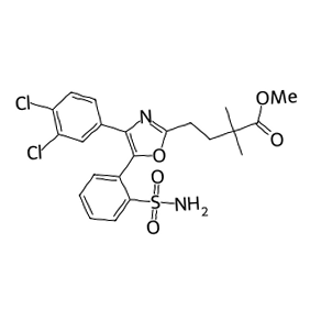 COC(=O)C(C)(C)CCc1nc(-c2ccc(Cl)c(Cl)c2)c(-c2ccccc2S(N)(=O)=O)o1